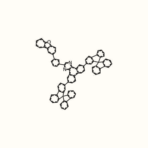 c1cc(-c2ccc3oc4ccccc4c3c2)cc(-c2cnc3c4cc(-c5ccc6c(c5)C5(c7ccccc7-c7ccccc75)c5ccccc5-6)ccc4c4ccc(-c5ccc6c(c5)C5(c7ccccc7-c7ccccc75)c5ccccc5-6)cc4c3n2)c1